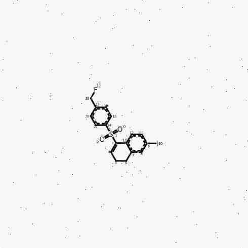 O=S(=O)(C1=CCCc2cc(I)ccc21)c1ccc(CF)cc1